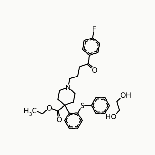 CCOC(=O)C1(c2ccccc2Sc2ccccc2)CCN(CCCC(=O)c2ccc(F)cc2)CC1.OCCO